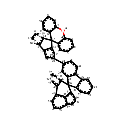 c1ccc2c(c1)Oc1ccccc1C21c2ccccc2-c2ccc(-c3ccc4c(c3)C3(c5ccccc5-4)c4ccccc4-c4cccc5cccc3c45)cc21